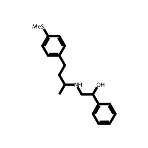 CSc1ccc(CCC(C)NCC(O)c2ccccc2)cc1